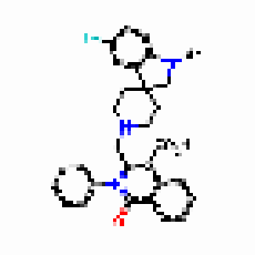 CC(=O)N1CC2(CCN(Cc3c(C(=O)O)c4ccccc4c(=O)n3-c3ccccc3)CC2)c2cc(F)ccc21